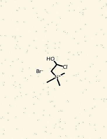 C[N+](C)(C)CC(O)Cl.[Br-]